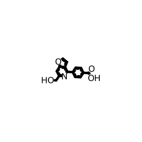 O=C(O)c1ccc(-c2nc(CO)cc3occc23)cc1